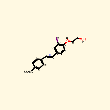 CNc1ccc(/C=C/c2ccc(OCCO)c(I)c2)cc1